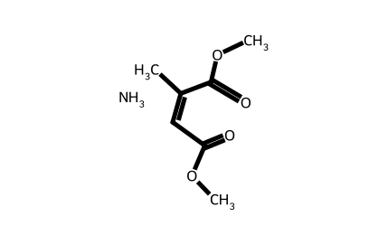 COC(=O)/C=C(/C)C(=O)OC.N